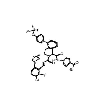 O=C(O)c1ccc(NC(=O)C2c3cccc(-c4ccc(OC(F)(F)F)cc4)c3CCN2C(=O)C=Cc2c(-n3cnnn3)ccc(Cl)c2F)cc1